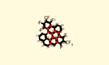 Fc1c(F)c(C(F)(F)F)c(F)c(F)c1N(c1cccc2ccccc12)c1cccc2cccc(N(c3c(F)c(F)c(C(F)(F)F)c(F)c3F)c3cccc4ccccc34)c12